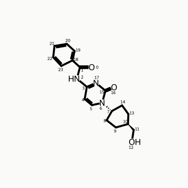 O=C(Nc1ccn([C@H]2CC[C@H](CO)CC2)c(=O)n1)c1ccccc1